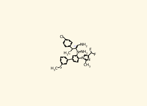 CSc1cccc(-c2ccc(-n3cc(C(F)F)nc3C)c(N(N)/C(=C\N)C(C)c3ccc(Cl)cc3)c2)c1